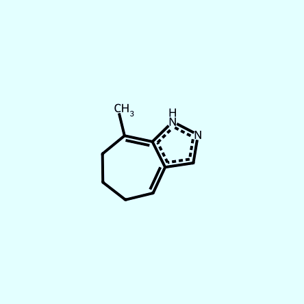 CC1=c2[nH]ncc2=CCCC1